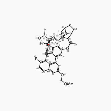 COCOc1cc(-c2nc3c4c(nc([S+](C)[O-])nc4c2F)N2CC4CCC(C2C(C)O3)N4C(=O)O)c2c(C#C[Si](C(C)C)(C(C)C)C(C)C)c(F)ccc2c1